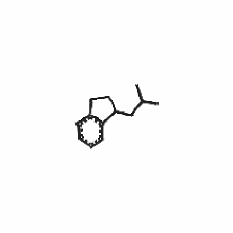 CC(C)[CH]C1CCc2ccccc21